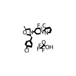 C[C@H]1CN(C2CCN(c3ncccc3C(F)(F)F)CC2)[C@@H](Cc2ccc(Cl)cc2)CO1.O=C(O)C(F)(F)F